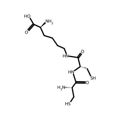 N[C@@H](CCCCNC(=O)[C@H](CS)NC(=O)[C@@H](N)CS)C(=O)O